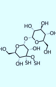 OC[C@H]1O[C@H](O[C@H]2O[C@H](CO)[C@@H](O)[C@](S)(OS)[C@H]2O)[C@H](O)[C@@H](O)[C@@H]1O